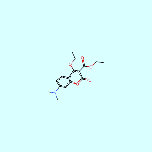 CCOC(=O)c1c(OCC)c2ccc(N(C)C)cc2oc1=O